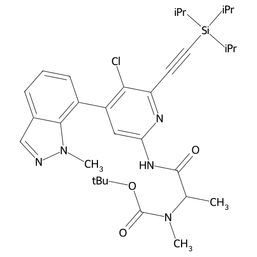 CC(C(=O)Nc1cc(-c2cccc3cnn(C)c23)c(Cl)c(C#C[Si](C(C)C)(C(C)C)C(C)C)n1)N(C)C(=O)OC(C)(C)C